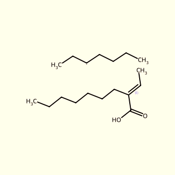 C/C=C(\CCCCCCC)C(=O)O.CC[CH]CCCC